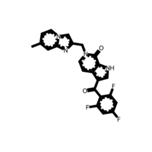 Cc1ccn2cc(Cn3ccc4c(C(=O)c5c(F)cc(F)cc5F)c[nH]c4c3=O)nc2c1